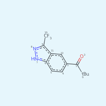 CC(C)(C)C(=O)c1ccc2[nH]nc(C(F)(F)F)c2c1